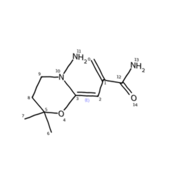 C=C(/C=C1/OC(C)(C)CCN1N)C(N)=O